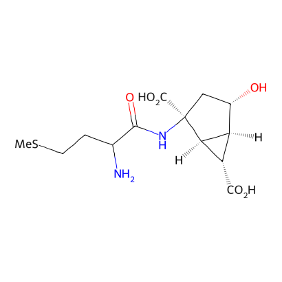 CSCCC(N)C(=O)N[C@@]1(C(=O)O)C[C@H](O)[C@H]2[C@H](C(=O)O)[C@H]21